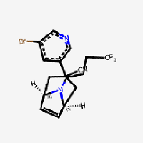 N#CC1(c2cncc(Br)c2)C[C@H]2C=C[C@@H](C1)N2CCCC(F)(F)F